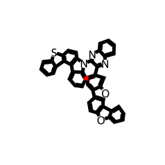 c1ccc2nc(-n3c4ccccc4c4c5c(ccc43)sc3ccccc35)c(-c3ccc4c(c3)oc3c4ccc4oc5ccccc5c43)nc2c1